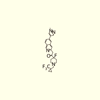 Cn1cc(-c2ccc3cnc(CC(=O)C4(F)CCN(CC5(C(F)(F)F)CC5)CC4)cc3c2)cn1